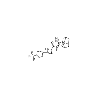 NC(=O)C12CC3CC(C1)C(CNC(=O)c1ccc(-c4ccc(C(F)(F)F)cc4)[nH]1)C(C3)C2